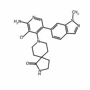 Cn1ncc2ccc(-c3cnc(N)c(Cl)c3N3CCC4(CCNC4=O)CC3)cc21